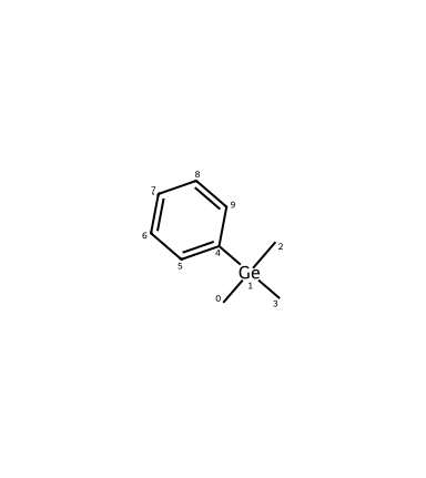 [CH3][Ge]([CH3])([CH3])[c]1cc[c]cc1